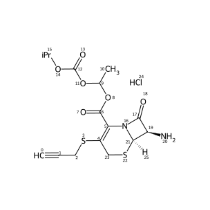 C#CCSC1=C(C(=O)OC(C)OC(=O)OC(C)C)N2C(=O)[C@@H](N)[C@H]2SC1.Cl